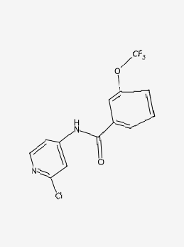 O=C(Nc1ccnc(Cl)c1)c1cccc(OC(F)(F)F)c1